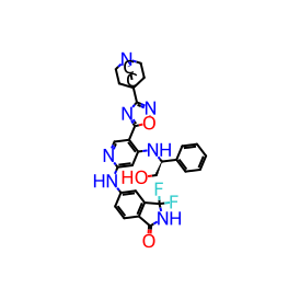 O=C1NC(F)(F)c2cc(Nc3cc(N[C@H](CO)c4ccccc4)c(-c4nc(C56CCN(CC5)CC6)no4)cn3)ccc21